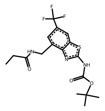 CCC(=O)NCc1cc(C(F)(F)F)cc2sc(NC(=O)OC(C)(C)C)nc12